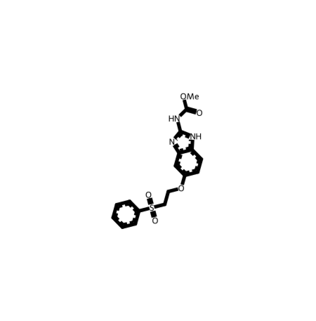 COC(=O)Nc1nc2cc(OCCS(=O)(=O)c3ccccc3)ccc2[nH]1